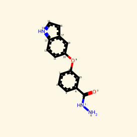 NNC(=O)c1cccc(Oc2ccc3[nH]ccc3c2)c1